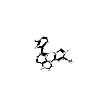 Cc1cccc(-c2ncc3c(n2)N(c2cc(N)ncn2)CCO3)n1